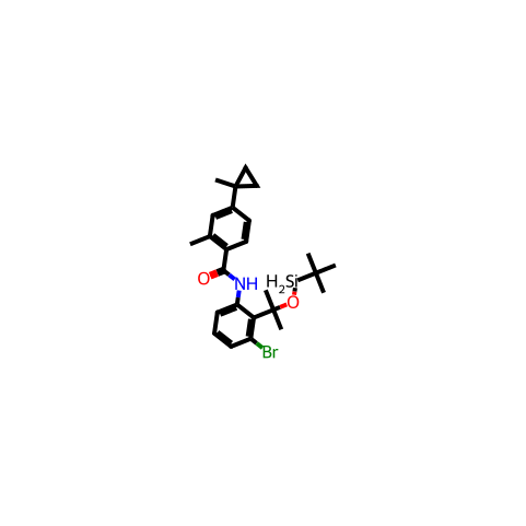 Cc1cc(C2(C)CC2)ccc1C(=O)Nc1cccc(Br)c1C(C)(C)O[SiH2]C(C)(C)C